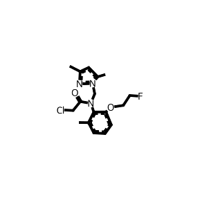 Cc1cc(C)n(CN(C(=O)CCl)c2c(C)cccc2OCCF)n1